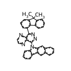 CC1(C)c2ccccc2-c2c(-c3nnc(-n4c5ccccc5c5cc6ccccc6cc54)c4nccnc34)cccc21